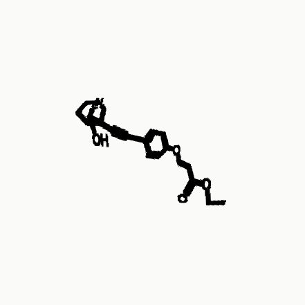 CCOC(=O)CCOc1ccc(C#CC2(O)CN3CCC2CC3)cc1